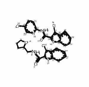 O=C(NCC1CCCO1)c1sc2ccccc2c1Cl.O=C(Nc1ccc(Cl)cn1)c1sc2ccccc2c1Cl